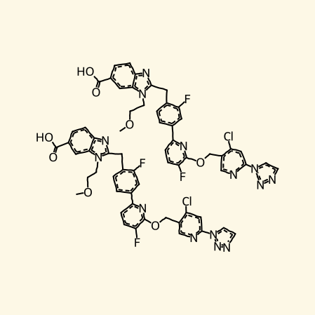 COCCn1c(Cc2ccc(-c3ccc(F)c(OCc4cnc(-n5ccnn5)cc4Cl)n3)cc2F)nc2ccc(C(=O)O)cc21.COCCn1c(Cc2ccc(-c3ccc(F)c(OCc4cnc(-n5ccnn5)cc4Cl)n3)cc2F)nc2ccc(C(=O)O)cc21